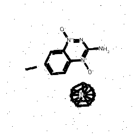 Nc1n[n+]([O-])c2ccccc2[n+]1[O-].[CH2]C.[CH]12[CH]3[CH]4[CH]5[CH]1[Ti]23451678[CH]2[CH]1[CH]6[CH]7[CH]28